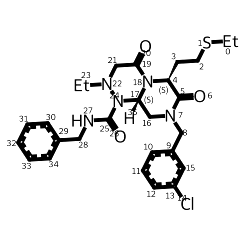 CCSCC[C@H]1C(=O)N(Cc2cccc(Cl)c2)C[C@H]2N1C(=O)CN(CC)N2C(=O)NCc1ccccc1